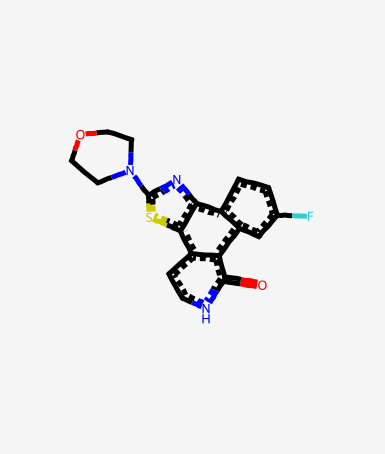 O=c1[nH]ccc2c3sc(N4CCOCC4)nc3c3ccc(F)cc3c12